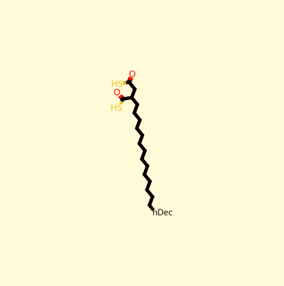 CCCCCCCCCCCCCCCCCCCCCCCCC(CC(=O)S)C(=O)S